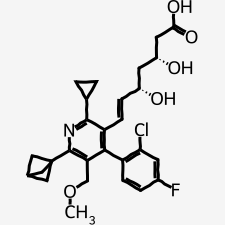 COCc1c(C23CC(C2)C3)nc(C2CC2)c(/C=C/[C@@H](O)C[C@@H](O)CC(=O)O)c1-c1ccc(F)cc1Cl